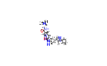 CCN(CC)CCNC(=O)c1c(C)[nH]c(/C=C2\C(=O)Nc3ccc(-c4cnn(-c5ccccc5)c4C)cc32)c1C